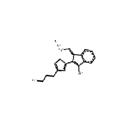 CC=C1C(C2=CC(CCCO)=CC2)=[C]([Zr+2])c2ccccc21.[Cl-].[Cl-]